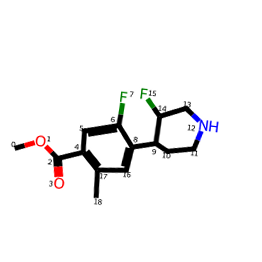 COC(=O)c1cc(F)c(C2CCNCC2F)cc1C